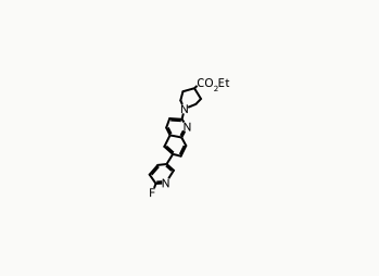 CCOC(=O)C1CCN(c2ccc3cc(-c4ccc(F)nc4)ccc3n2)CC1